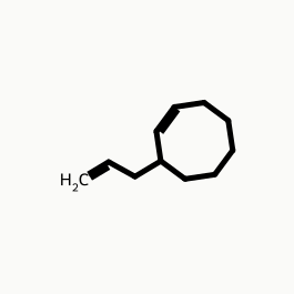 C=CCC1C=CCCCCC1